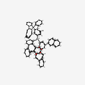 c1ccc2c(c1)-c1ccccc1C21c2ccccc2-c2ccc(N(c3cc(-c4ccc5ccccc5c4)cc(-c4ccc5ccccc5c4)c3)c3cccc4c5ccccc5c5ccccc5c34)cc21